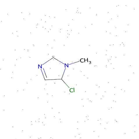 CN1[C]N=CC1Cl